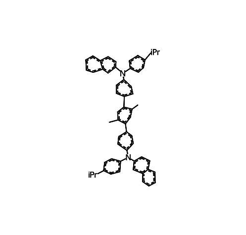 Cc1cc(-c2ccc(N(c3ccc(C(C)C)cc3)c3ccc4ccccc4c3)cc2)c(C)cc1-c1ccc(N(c2ccc(C(C)C)cc2)c2ccc3ccccc3c2)cc1